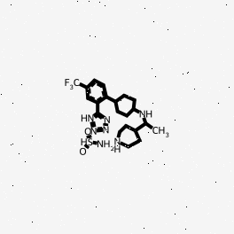 CC(NC1CCC(c2ccc(C(F)(F)F)cc2-c2nnn[nH]2)CC1)C1CCNCC1.N[SH](=O)=O